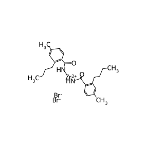 CCCCc1cc(C)ccc1C(=O)[NH][Zr+2][NH]C(=O)c1ccc(C)cc1CCCC.[Br-].[Br-]